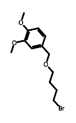 COc1ccc(COCCCCBr)cc1OC